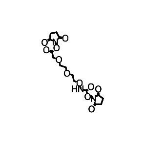 O=C(COCCOCCONC(=O)ON1C(=O)CCC1=O)ON1C(=O)CCC1=O